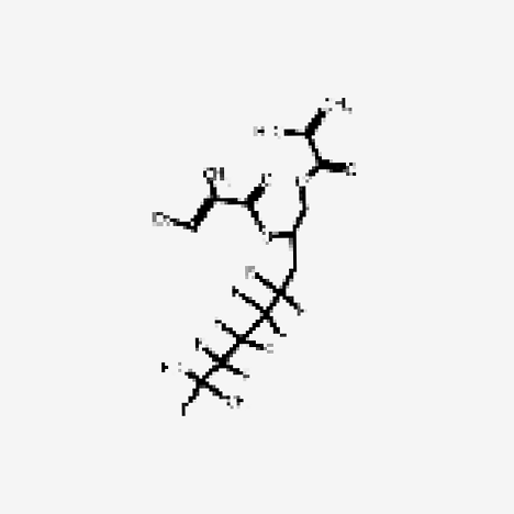 C=C(C)C(=O)OCC(CC(F)(F)C(F)(F)C(F)(F)C(F)(F)C(F)(C(F)(F)F)C(F)(F)F)OC(=O)C(C)=CCC